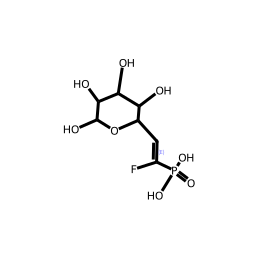 O=P(O)(O)/C(F)=C/C1OC(O)C(O)C(O)C1O